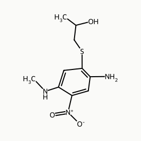 CNc1cc(SCC(C)O)c(N)cc1[N+](=O)[O-]